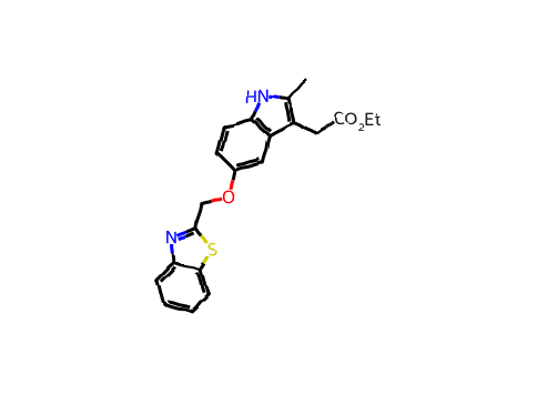 CCOC(=O)Cc1c(C)[nH]c2ccc(OCc3nc4ccccc4s3)cc12